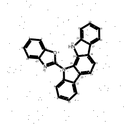 c1ccc2oc(-n3c4ccccc4c4ccc5c6ccccc6[nH]c5c43)nc2c1